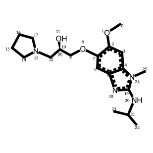 COc1cc2c(cc1OC[C@H](O)CN1CCCC1)nc(NC(C)C)n2C